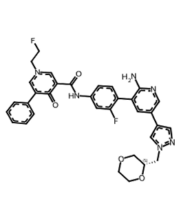 Nc1ncc(-c2cnn(C[C@H]3COCCO3)c2)cc1-c1ccc(NC(=O)c2cn(CCF)cc(-c3ccccc3)c2=O)cc1F